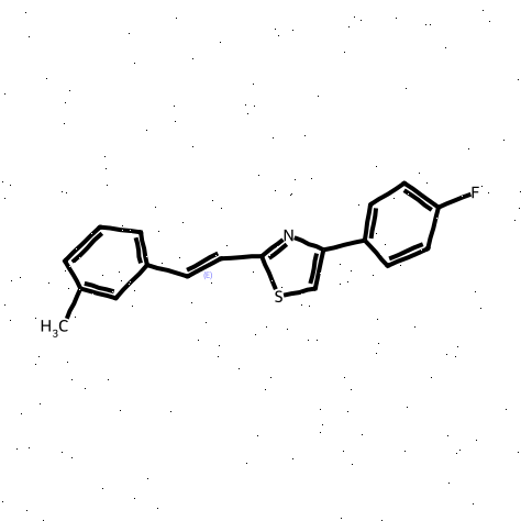 Cc1cccc(/C=C/c2nc(-c3ccc(F)cc3)cs2)c1